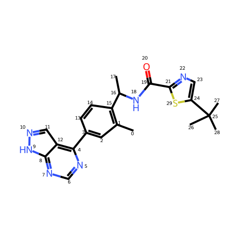 Cc1cc(-c2ncnc3[nH]ncc23)ccc1C(C)NC(=O)c1ncc(C(C)(C)C)s1